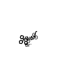 C=CCOC(=O)N1CCC(N2CC[C@@H]([P+](c3ccccc3)(c3ccccc3)c3ccccc3)C2=O)C1.[Br-]